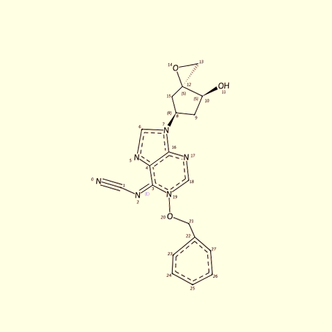 N#C/N=c1\c2ncn([C@@H]3C[C@H](O)[C@@]4(CO4)C3)c2ncn1OCc1ccccc1